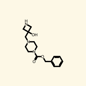 O=C(OCc1ccccc1)N1CCN(CC2(O)CNC2)CC1